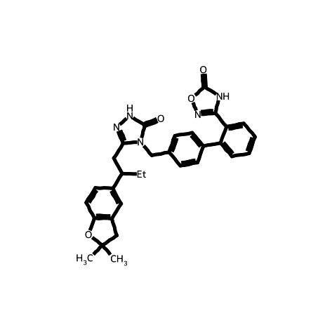 CCC(Cc1n[nH]c(=O)n1Cc1ccc(-c2ccccc2-c2noc(=O)[nH]2)cc1)c1ccc2c(c1)CC(C)(C)O2